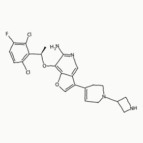 C[C@@H](Oc1c(N)ncc2c(C3=CCN(C4CNC4)CC3)coc12)c1c(Cl)ccc(F)c1Cl